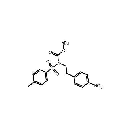 CCCCOC(=O)N(CCc1ccc([N+](=O)[O-])cc1)S(=O)(=O)c1ccc(C)cc1